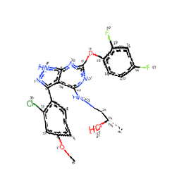 COc1ccc(-c2n[nH]c3nc(Oc4ccc(F)cc4F)nc(NC[C@H](C)O)c23)c(Cl)c1